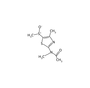 CC(=O)N(C)c1nc(C)c([S+](C)[O-])s1